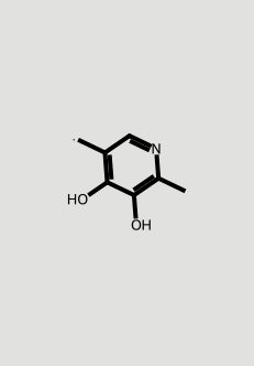 [CH2]c1cnc(C)c(O)c1O